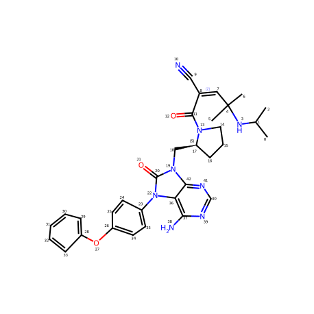 CC(C)NC(C)(C)/C=C(/C#N)C(=O)N1CCC[C@H]1Cn1c(=O)n(-c2ccc(Oc3ccccc3)cc2)c2c(N)ncnc21